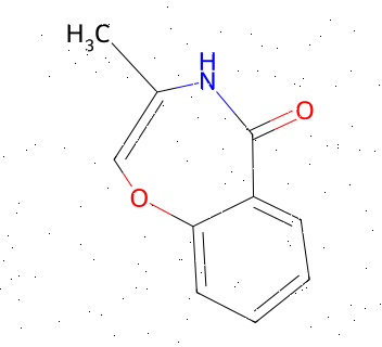 CC1=COc2ccccc2C(=O)N1